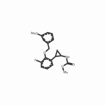 COc1cccc(COc2c(F)cccc2C2CC2NC(=O)OC(C)(C)C)c1